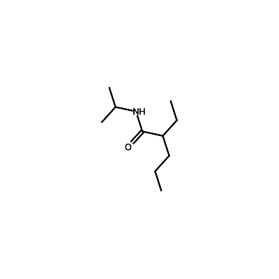 CCCC(CC)C(=O)NC(C)C